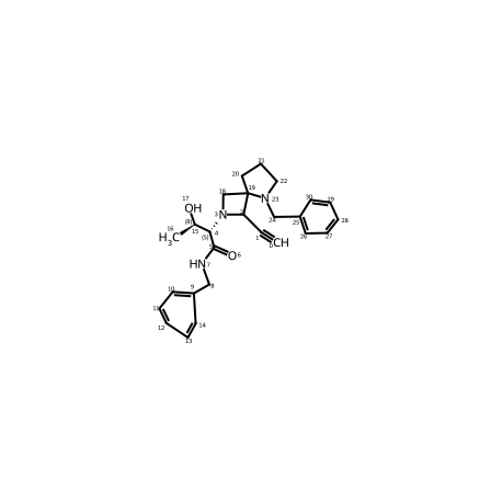 C#CC1N([C@H](C(=O)NCc2ccccc2)[C@@H](C)O)CC12CCCN2Cc1ccccc1